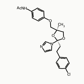 CC(=O)Nc1ccc(OC[C@@]2(C)CO[C@@](CCc3ccc(Cl)cc3)(n3ccnc3)O2)cc1